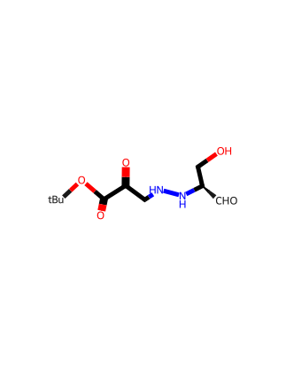 CC(C)(C)OC(=O)C(=O)CNN[C@H](C=O)CO